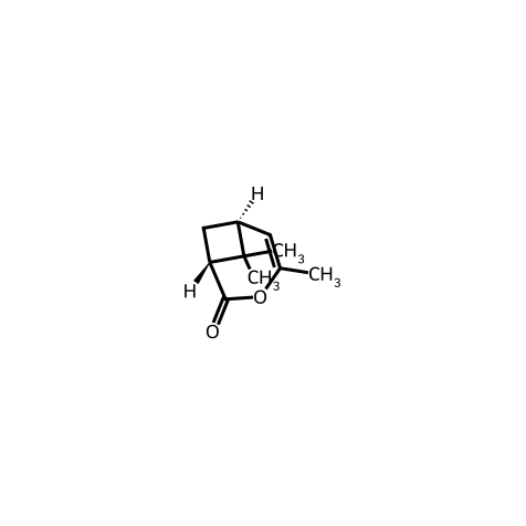 CC1=C[C@@H]2C[C@@H](C(=O)O1)C2(C)C